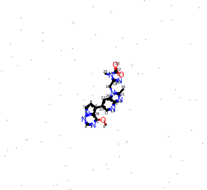 COc1ncnn2ccc(-c3cnc4nc(C)n(Cc5noc(=O)n5C)c4c3)c12